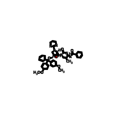 COc1ccc(C(OC[C@@]23CN(c4ncccn4)[C@@H]([C@H](n4cc(C)c(NC(=O)c5ccccc5)nc4=O)O2)[C@@H]3O)(c2ccccc2)c2ccc(OC)cc2)cc1